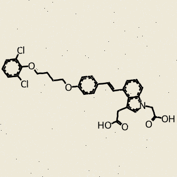 O=C(O)Cc1cn(CC(=O)O)c2cccc(C=Cc3ccc(OCCCCOc4c(Cl)cccc4Cl)cc3)c12